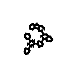 c1ccc(-c2nc(-c3ccccc3)nc(-c3cccc(-c4nc(-c5cc6c(cn5)sc5ccccc56)cc5ccccc45)c3)n2)cc1